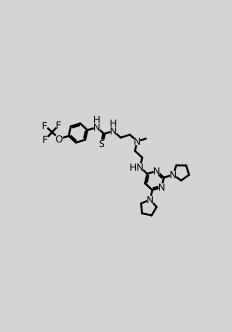 CN(CCNC(=S)Nc1ccc(OC(F)(F)F)cc1)CCNc1cc(N2CCCC2)nc(N2CCCC2)n1